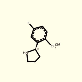 Cl.Fc1ccc(C(F)(F)F)c([C@H]2CCCN2)c1